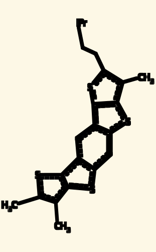 Cc1sc2c(sc3cc4sc5c(C)c(CCC(C)C)sc5c4cc32)c1C